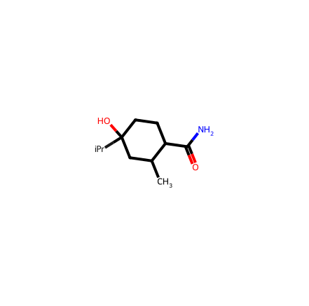 CC1CC(O)(C(C)C)CCC1C(N)=O